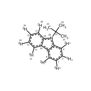 [2H]c1c([2H])c([2H])c2c(c1[2H])c1c([2H])c([2H])c([2H])c([2H])c1n2C(C)(C)C